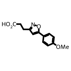 COc1ccc(-c2cc(CCC(=O)O)no2)cc1